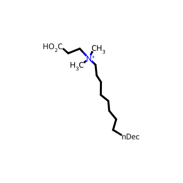 CCCCCCCCCCCCCCCCCC[N+](C)(C)CCC(=O)O